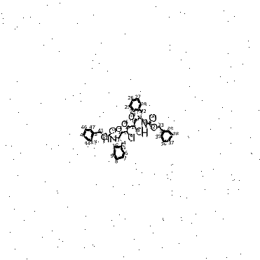 O=C(N[C@@H](Cc1ccccc1)C(=O)C(Cl)C(=O)C(Cl)C(=O)[C@H](Cc1ccccc1)NC(=O)OCc1ccccc1)OCc1ccccc1